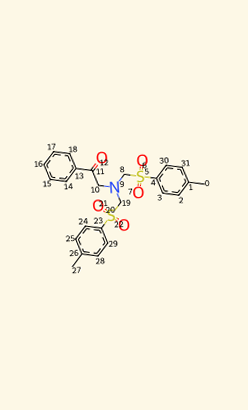 Cc1ccc(S(=O)(=O)CN(CC(=O)c2ccccc2)CS(=O)(=O)c2ccc(C)cc2)cc1